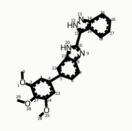 COc1cc(-c2ccc3nc(-c4[nH]nc5ccccc45)[nH]c3c2)cc(OC)c1OC